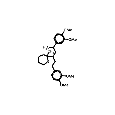 COc1ccc(CCN(CC(C)c2ccc(OC)c(OC)c2)C2(C)SCCCS2)cc1OC